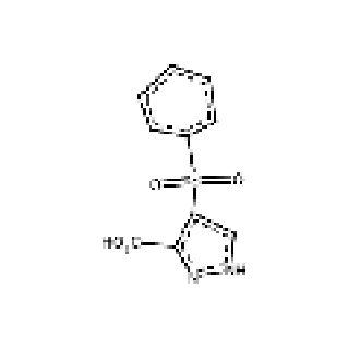 O=C(O)c1n[nH]cc1S(=O)(=O)c1ccccc1